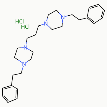 Cl.Cl.c1ccc(CCN2CCN(CCCN3CCN(CCc4ccccc4)CC3)CC2)cc1